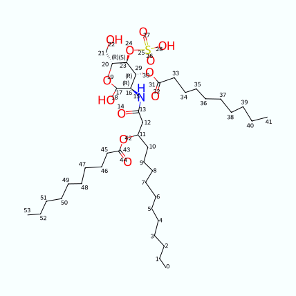 CCCCCCCCCCCC(CC(=O)N[C@H]1C(O)O[C@H](CO)[C@@H](OS(=O)(=O)O)[C@@H]1OC(=O)CCCCCCCCC)OC(=O)CCCCCCCCC